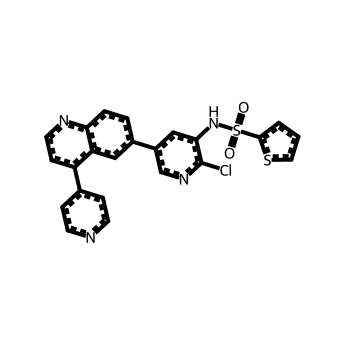 O=S(=O)(Nc1cc(-c2ccc3nccc(-c4ccncc4)c3c2)cnc1Cl)c1cccs1